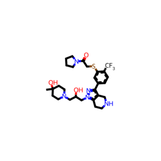 CC1(O)CCN(CC(O)Cn2nc(-c3ccc(C(F)(F)F)c(SCC(=O)N4CCCC4)c3)c3c2CCNC3)CC1